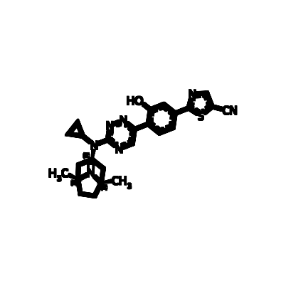 C[C@]12CC[C@](C)(C[C@@H](N(c3ncc(-c4ccc(-c5ncc(C#N)s5)cc4O)nn3)C3CC3)C1)N2